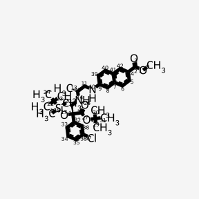 COC(=O)c1ccc2cc(NC[C@@H](C)NC[C@@](O[Si](C)(C)C(C)(C)C)(C(=O)OC(C)(C)C)c3cccc(Cl)c3)ccc2c1